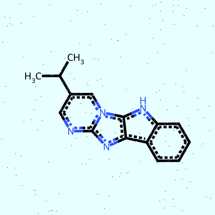 CC(C)c1cnc2nc3c4ccccc4[nH]c3n2c1